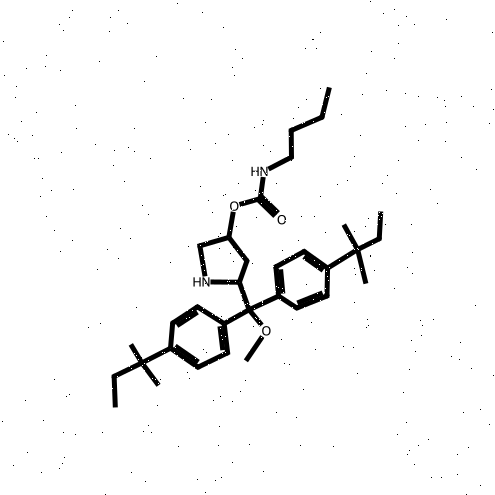 CCCCNC(=O)OC1CNC(C(OC)(c2ccc(C(C)(C)CC)cc2)c2ccc(C(C)(C)CC)cc2)C1